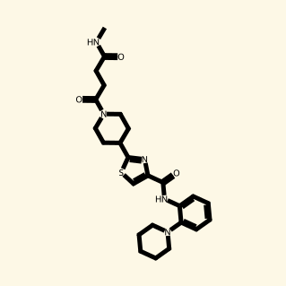 CNC(=O)CCC(=O)N1CCC(c2nc(C(=O)Nc3ccccc3N3CCCCC3)cs2)CC1